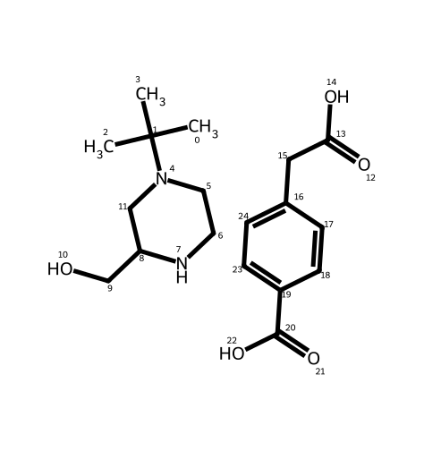 CC(C)(C)N1CCNC(CO)C1.O=C(O)Cc1ccc(C(=O)O)cc1